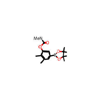 CNC(=O)Oc1cc(B2OC(C)(C)C(C)(C)O2)cc(C)c1C